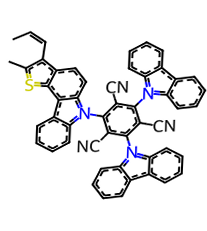 C/C=C\c1c(C)sc2c1ccc1c2c2ccccc2n1-c1c(C#N)c(-n2c3ccccc3c3ccccc32)c(C#N)c(-n2c3ccccc3c3ccccc32)c1C#N